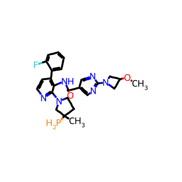 COC1CN(c2ncc(C(=O)Nc3c(-c4ccccc4F)ccnc3N3CCC(C)(P)C3)cn2)C1